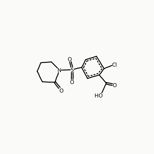 O=C(O)c1cc(S(=O)(=O)N2CCCCC2=O)ccc1Cl